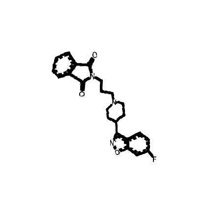 O=C1c2ccccc2C(=O)N1CCCN1CCC(c2noc3cc(F)ccc23)CC1